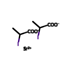 CC(I)C(=O)[O-].CC(I)C(=O)[O-].[Sr+2]